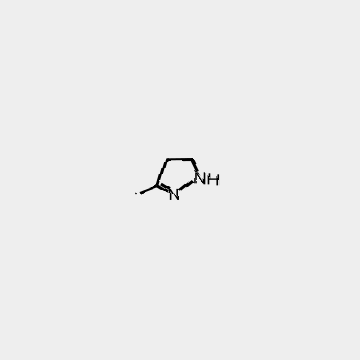 [CH2]C1=NNCC1